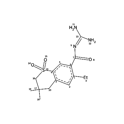 CCc1cc2c(cc1C(=O)N=C(N)N)S(=O)(=O)CC(C)(C)C2